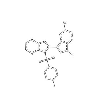 CC(=O)c1ccc2c(c1)c(-c1cc3cccnc3n1S(=O)(=O)c1ccc(C)cc1)cn2C